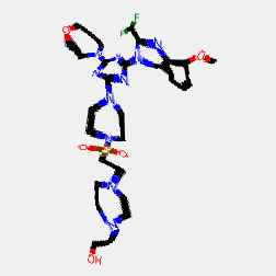 COc1cccc2c1nc(C(F)F)n2-c1nc(N2CCOCC2)nc(N2CCN(S(=O)(=O)CCN3CCN(CCO)CC3)CC2)n1